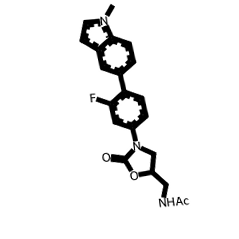 CC(=O)NCC1CN(c2ccc(-c3ccc4c(ccn4C)c3)c(F)c2)C(=O)O1